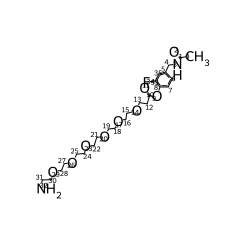 CC(=O)NCc1ccc(OC(=O)CCOCCOCCOCCOCCOCCOCCN)c(F)c1